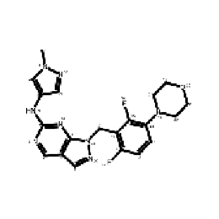 Cn1cc(Nc2ncc3cnn(Cc4c(F)ccc(N5CCOCC5)c4F)c3n2)cn1